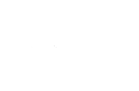 CC(C)(C)[S+]([O-])N[C@@H](CCC1OCCCO1)c1ccccc1Br